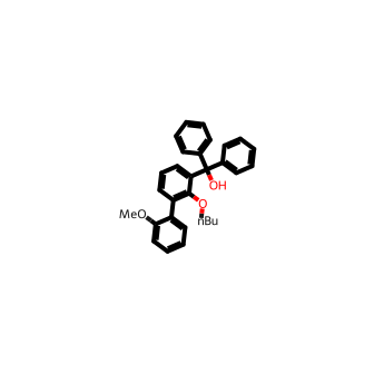 CCCCOc1c(-c2ccccc2OC)cccc1C(O)(c1ccccc1)c1ccccc1